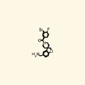 NCc1ccc2c(c1)C1(CCN(C(=O)c3ccc(F)c(Br)c3)CC1)CO2